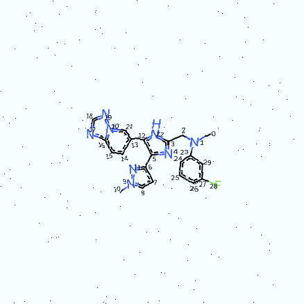 CN(Cc1nc(-c2ccn(C)n2)c(-c2ccc3ncnn3c2)[nH]1)c1cccc(F)c1